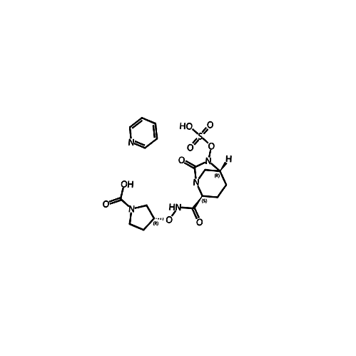 O=C(NO[C@@H]1CCN(C(=O)O)C1)[C@@H]1CC[C@@H]2CN1C(=O)N2OS(=O)(=O)O.c1ccncc1